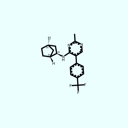 Cc1ncc(-c2ccc(C(F)(F)F)cc2)c(N[C@@H]2C[C@@H]3CC[C@@H]2C3)n1